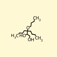 CCCCOC(CCCC)(CCCC)C(O)CO